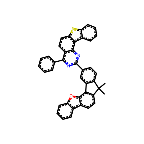 CC1(C)c2ccc(-c3nc(-c4ccccc4)c4ccc5sc6ccccc6c5c4n3)cc2-c2c1ccc1c2oc2ccccc21